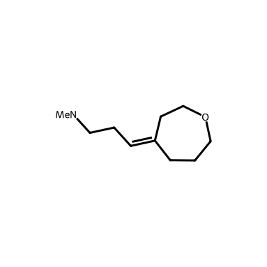 CNCC/C=C1/CCCOCC1